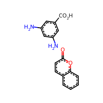 Nc1cc(N)cc(C(=O)O)c1.O=c1ccc2ccccc2o1